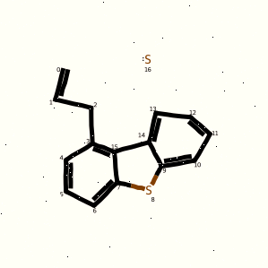 C=CCc1cccc2sc3ccccc3c12.[S]